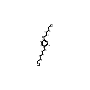 ClCCCCCCc1ccc(CCCCCCl)cc1